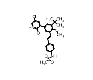 COc1c(C=Cc2ccc(NS(C)(=O)=O)cc2)cc(-c2cc(Cl)c[nH]c2=O)cc1C(C)(C)C